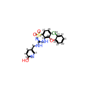 O=S1(=O)N=C(NCc2ccc(O)nc2)Nc2c(Oc3ccccc3Cl)cccc21